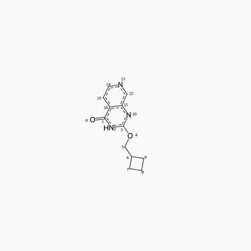 O=c1[nH]c(OCC2CCC2)nc2cnccc12